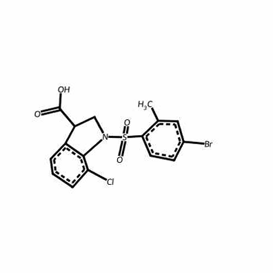 Cc1cc(Br)ccc1S(=O)(=O)N1CC(C(=O)O)c2cccc(Cl)c21